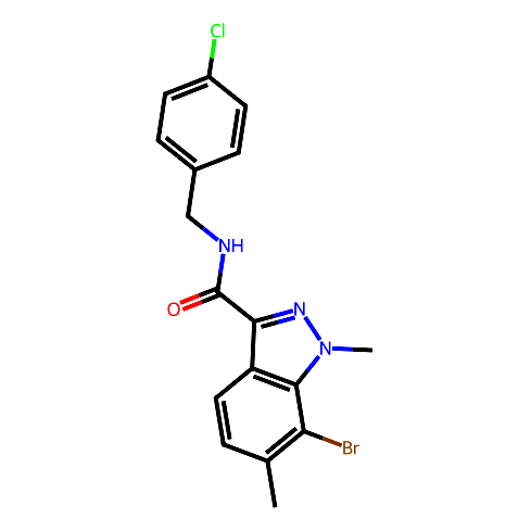 Cc1ccc2c(C(=O)NCc3ccc(Cl)cc3)nn(C)c2c1Br